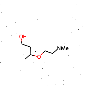 CNCCOC(C)CCO